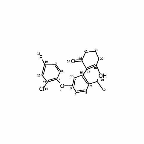 CCc1ccc(Oc2ccc(F)cc2Cl)cc1C1=C(O)CCCC1=O